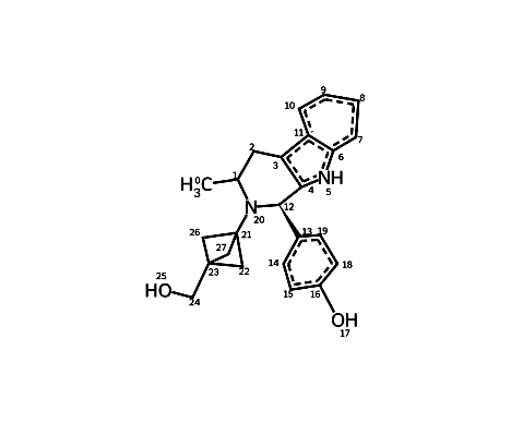 CC1Cc2c([nH]c3ccccc23)[C@@H](c2ccc(O)cc2)N1C12CC(CO)(C1)C2